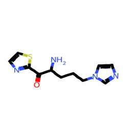 NC(CCCn1ccnc1)C(=O)c1nccs1